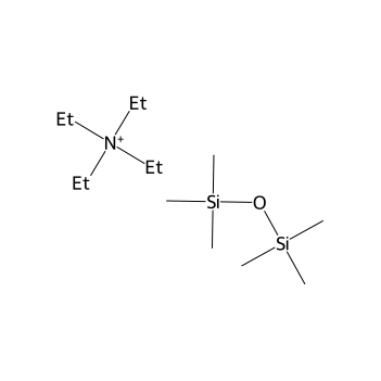 CC[N+](CC)(CC)CC.C[Si](C)(C)O[Si](C)(C)C